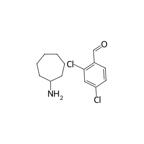 NC1CCCCCC1.O=Cc1ccc(Cl)cc1Cl